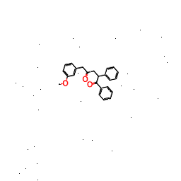 COc1cccc(CC(=O)CC(C(=O)c2ccccc2)c2ccccc2)c1